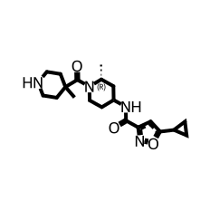 C[C@@H]1CC(NC(=O)c2cc(C3CC3)on2)CCN1C(=O)C1(C)CCNCC1